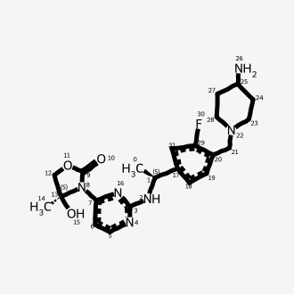 C[C@H](Nc1nccc(N2C(=O)OC[C@]2(C)O)n1)c1ccc(CN2CCC(N)CC2)c(F)c1